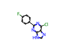 Fc1ccc(-c2nc(Cl)c3nc[nH]c3n2)cc1